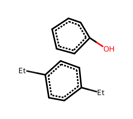 CCc1ccc(CC)cc1.Oc1ccccc1